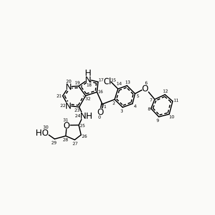 O=C(c1ccc(Oc2ccccc2)cc1Cl)c1c[nH]c2ncnc(NC3CCC(CO)O3)c12